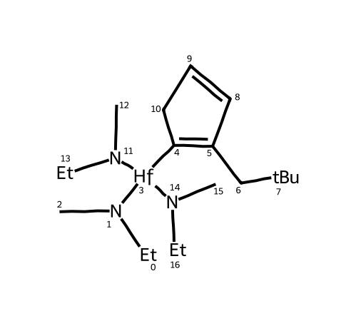 CC[N](C)[Hf]([C]1=C(CC(C)(C)C)C=CC1)([N](C)CC)[N](C)CC